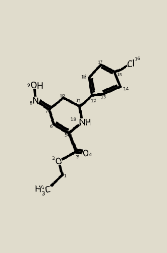 CCOC(=O)C1=CC(=NO)CC(c2ccc(Cl)cc2)N1